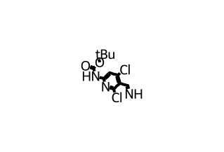 CC(C)(C)OC(=O)Nc1cc(Cl)c(C=N)c(Cl)n1